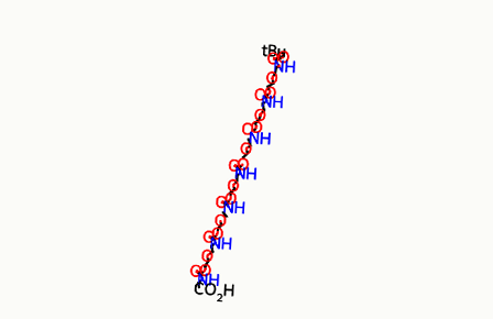 CC(C)(C)OC(=O)NCCOCCOC(=O)NCCOCCOC(=O)NCCOCCOC(=O)NCCOCCOC(=O)NCCOCCOC(=O)NCCOCCOC(=O)NCC(=O)O